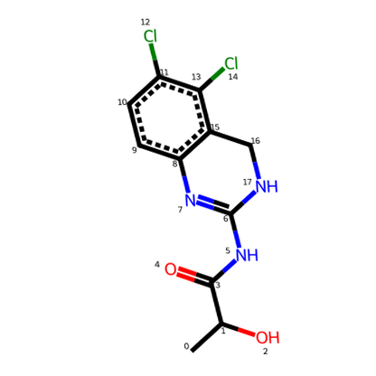 CC(O)C(=O)NC1=Nc2ccc(Cl)c(Cl)c2CN1